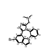 CN(C)Cc1nnc2c3cc(Br)cc4ccn(c5ccccc5n12)c43